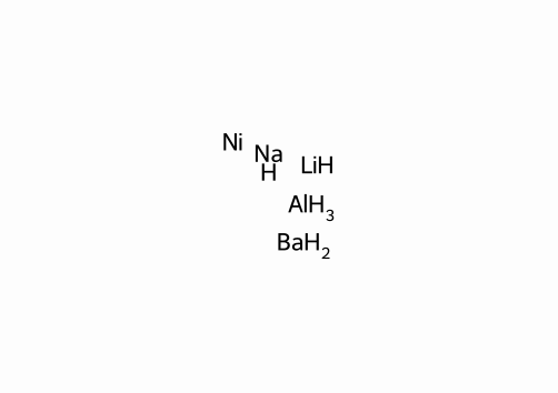 [AlH3].[BaH2].[LiH].[NaH].[Ni]